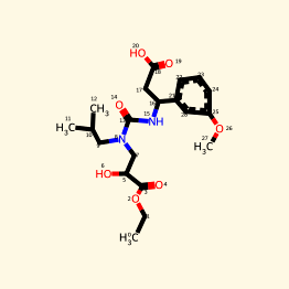 CCOC(=O)C(O)CN(CC(C)C)C(=O)NC(CC(=O)O)c1cccc(OC)c1